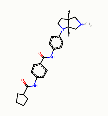 CN1C[C@H]2CCN(c3ccc(NC(=O)c4ccc(NC(=O)C5CCCC5)cc4)cc3)[C@H]2C1